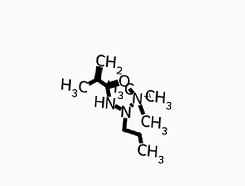 C=C(C)C(=O)NN(CCC)[N+](C)(C)C